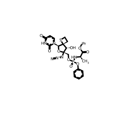 CC(C)OC(=O)[C@@H](C)NP(=O)(OC[C@@]1(N=[N+]=[N-])O[C@@H](n2ccc(=O)[nH]c2=O)[C@@]2(CCS2)[C@@H]1O)Oc1ccccc1